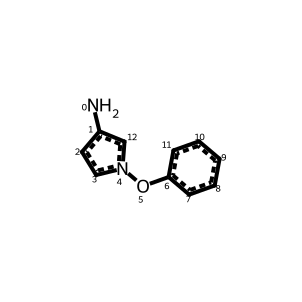 Nc1ccn(Oc2ccccc2)c1